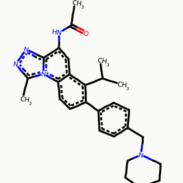 CC(=O)Nc1cc2c(C(C)C)c(-c3ccc(CN4CCCCC4)cc3)ccc2n2c(C)nnc12